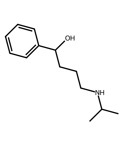 CC(C)NCCCC(O)c1ccccc1